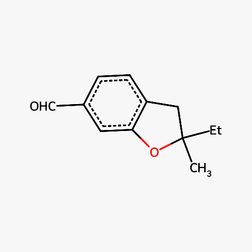 CCC1(C)Cc2ccc(C=O)cc2O1